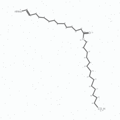 CCCCCCC=CCCCCCCCCCCCC(=O)OCCCCCCCCCCCCCCC(=O)O